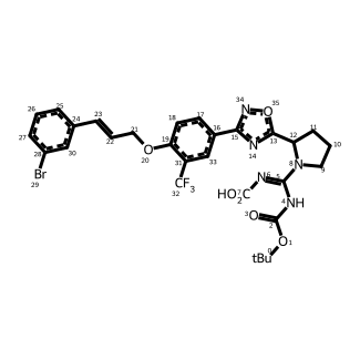 CC(C)(C)OC(=O)NC(=NC(=O)O)N1CCCC1c1nc(-c2ccc(OC/C=C/c3cccc(Br)c3)c(C(F)(F)F)c2)no1